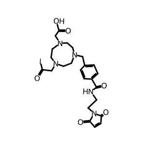 O=C(O)CN1CCN(CC(=O)I)CCN(Cc2ccc(C(=O)NCCN3C(=O)C=CC3=O)cc2)CC1